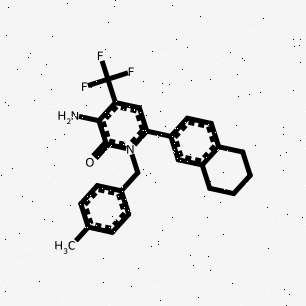 Cc1ccc(Cn2c(-c3ccc4c(c3)CCCC4)cc(C(F)(F)F)c(N)c2=O)cc1